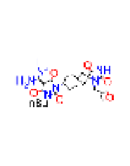 CCCCN1C(=O)C(=C(N)N)C(=O)N(C2CCC3(CC2)CC2(C3)C(=O)NC(=O)N2CC2COC2)C1=O